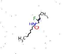 CC/C=C(\F)CNC(=O)CCCCCCC